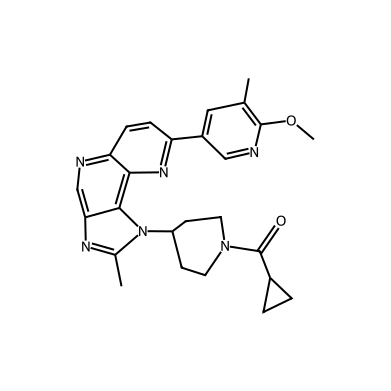 COc1ncc(-c2ccc3ncc4nc(C)n(C5CCN(C(=O)C6CC6)CC5)c4c3n2)cc1C